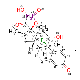 C[C@@H]1C[C@H]2[C@@H]3CCC4=CC(=O)C=C[C@]4(C)[C@@]3(F)[C@@H](O)C[C@]2(C)[C@@]1(O[PH2]=O)C(=O)CO